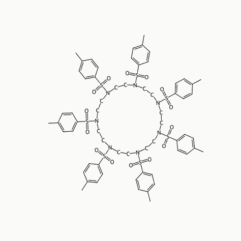 Cc1ccc(S(=O)(=O)N2CCN(S(=O)(=O)c3ccc(C)cc3)CCN(S(=O)(=O)c3ccc(C)cc3)CCN(S(=O)(=O)c3ccc(C)cc3)CCN(S(=O)(=O)c3ccc(C)cc3)CCN(S(=O)(=O)c3ccc(C)cc3)CCN(S(=O)(=O)c3ccc(C)cc3)CC2)cc1